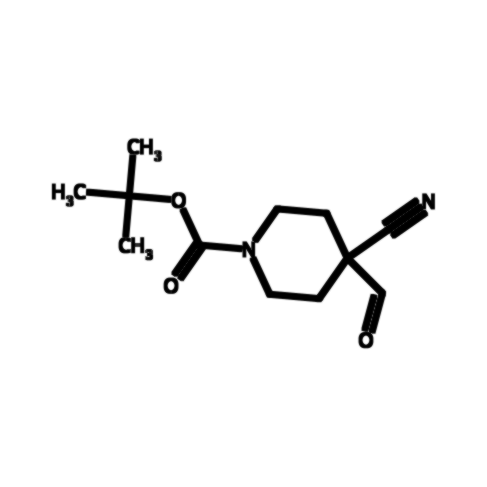 CC(C)(C)OC(=O)N1CCC(C#N)(C=O)CC1